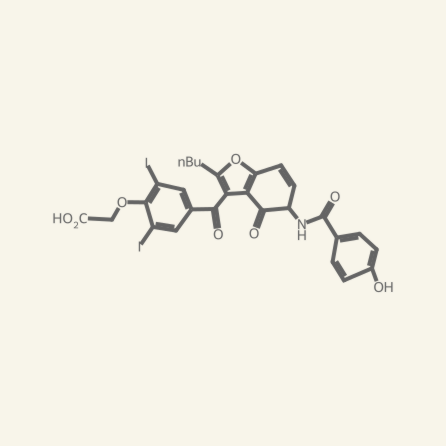 CCCCc1oc2c(c1C(=O)c1cc(I)c(OCC(=O)O)c(I)c1)C(=O)C(NC(=O)c1ccc(O)cc1)C=C2